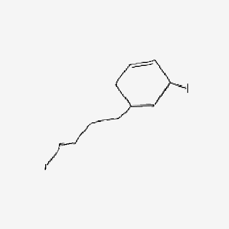 ICCCCC1CC=CC(I)C1